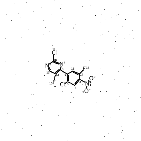 O=[N+]([O-])c1cc(Cl)c(-c2nc(Cl)ncc2F)cc1F